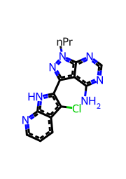 CCCn1nc(-c2[nH]c3ncccc3c2Cl)c2c(N)ncnc21